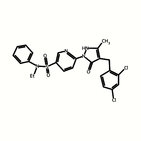 CCN(c1ccccc1)S(=O)(=O)c1ccc(-n2[nH]c(C)c(Cc3ccc(Cl)cc3Cl)c2=O)nc1